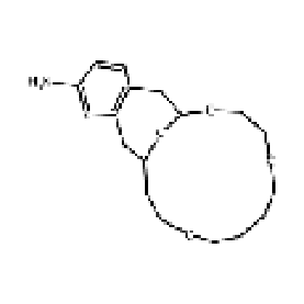 Nc1ccc2c(c1)CC1CCCCCCCCCCCC(C2)C1